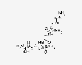 N=C(N)NCCC[C@H](NC(=O)CNC(=O)[C@@H](N)CCCCN)C(N)=O